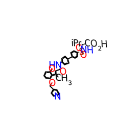 Cc1c(C(=O)Nc2ccc(-c3ccc(S(=O)(=O)N[C@H](C(=O)O)C(C)C)cc3)cc2)oc2cccc(OCc3ccncc3)c12